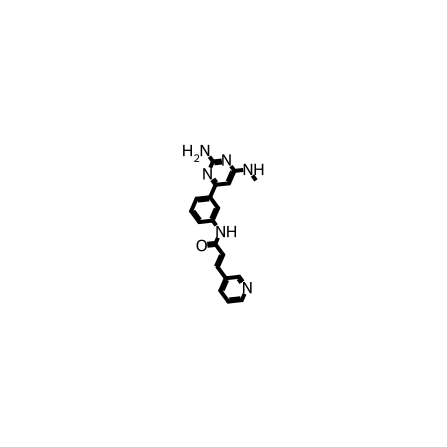 CNc1cc(-c2cccc(NC(=O)/C=C/c3cccnc3)c2)nc(N)n1